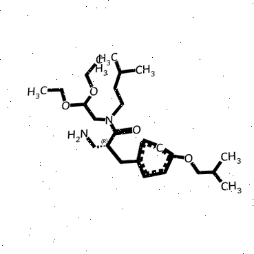 CCOC(CN(CCC(C)C)C(=O)[C@@H](CN)Cc1ccc(OCC(C)C)cc1)OCC